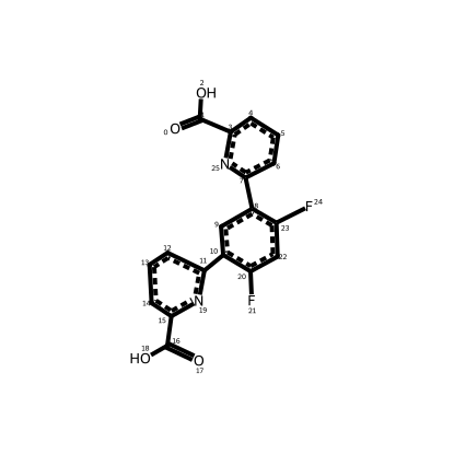 O=C(O)c1cccc(-c2cc(-c3cccc(C(=O)O)n3)c(F)cc2F)n1